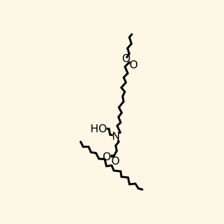 CCCCCCCCC(CCCCCCCC)OC(=O)CCCN(CCO)CCCCCCCCCCCCCCC(=O)OCCCCC